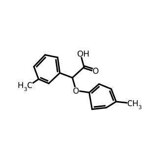 Cc1ccc(OC(C(=O)O)c2cccc(C)c2)cc1